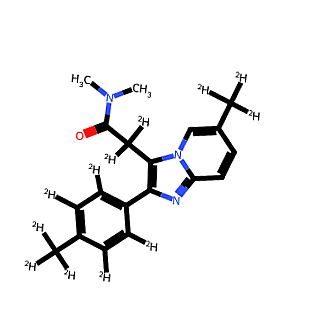 [2H]c1c([2H])c(C([2H])([2H])[2H])c([2H])c([2H])c1-c1nc2ccc(C([2H])([2H])[2H])cn2c1C([2H])([2H])C(=O)N(C)C